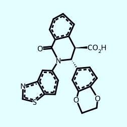 O=C(O)[C@@H]1c2ccccc2C(=O)N(c2ccc3scnc3c2)[C@H]1c1ccc2c(c1)OCCO2